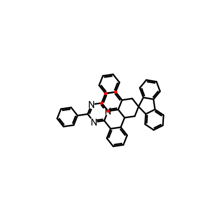 c1ccc(-c2nc(-c3ccccc3)nc(-c3ccccc3C3CC4(Cc5ccccc53)c3ccccc3-c3ccccc34)n2)cc1